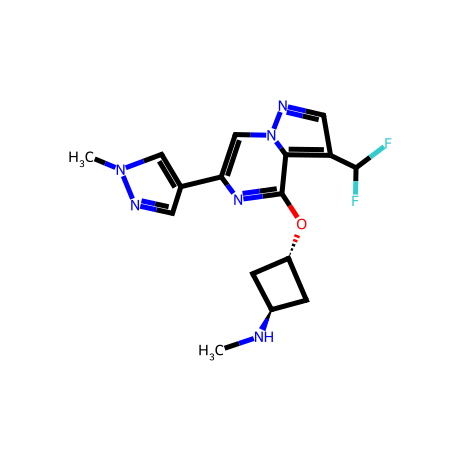 CN[C@H]1C[C@H](Oc2nc(-c3cnn(C)c3)cn3ncc(C(F)F)c23)C1